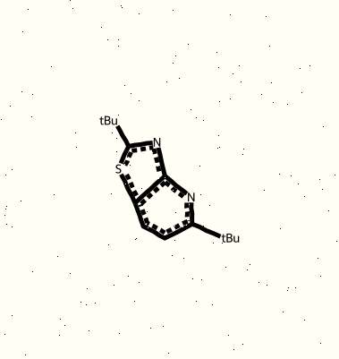 CC(C)(C)c1ccc2sc(C(C)(C)C)nc2n1